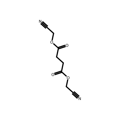 N#CCOC(=O)CCC(=O)OCC#N